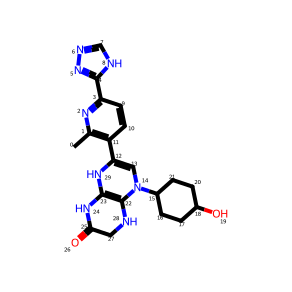 Cc1nc(-c2nnc[nH]2)ccc1C1=CN(C2CCC(O)CC2)C2=C(NC(=O)CN2)N1